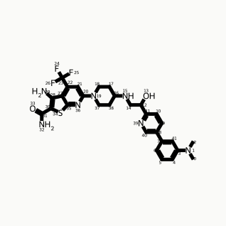 CN(C)c1cccc(-c2ccc(C(O)CNC3CCN(c4cc(C(F)(F)F)c5c(N)c(C(N)=O)sc5n4)CC3)nc2)c1